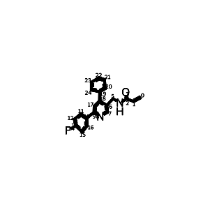 C=CC(=O)NCc1cnc(-c2ccc(F)cc2)cc1-c1ccccc1